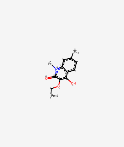 CCCC(C)COc1c(O)c2ccc([N+](=O)[O-])cc2n(CC)c1=O